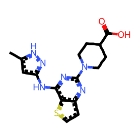 Cc1cc(Nc2nc(N3CCC(C(=O)O)CC3)nc3ccsc23)n[nH]1